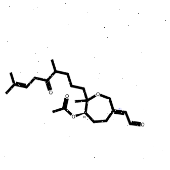 CC(=O)O[C@@H]1CC/C(=C\C=O)COC1(C)CCCC(C)C(=O)CC=C(C)C